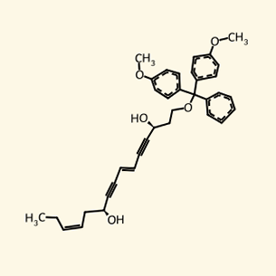 CC/C=C\C[C@H](O)C#C/C=C/C#C[C@@H](O)CCOC(c1ccccc1)(c1ccc(OC)cc1)c1ccc(OC)cc1